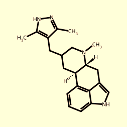 Cc1n[nH]c(C)c1CC1C[C@@H]2c3cccc4[nH]cc(c34)C[C@H]2N(C)C1